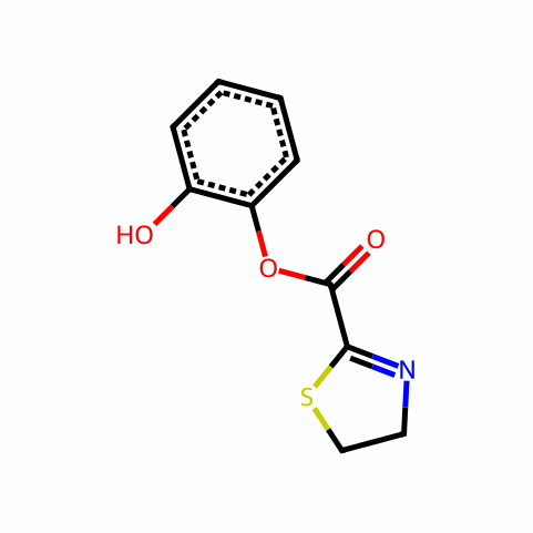 O=C(Oc1ccccc1O)C1=NCCS1